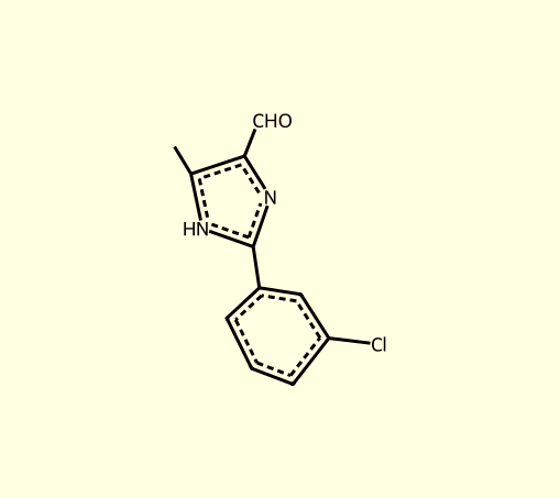 Cc1[nH]c(-c2cccc(Cl)c2)nc1C=O